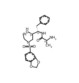 CC(C)CN(C[C@@H](O)[C@H](Cc1ccccc1)NC(=O)[C@H](C)N)S(=O)(=O)c1ccc2c(c1)OCO2